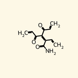 C=CC(=O)C(C(=O)C=C)=C(C=C)C(N)=O